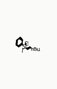 CCCCC=C[Si](Cl)(I)c1ccccc1